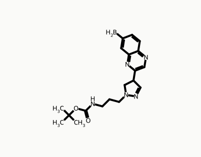 Bc1ccc2ncc(C3C=NN(CCCNC(=O)OC(C)(C)C)C3)nc2c1